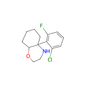 Fc1cccc(Cl)c1C12CCCCC1OCCN2